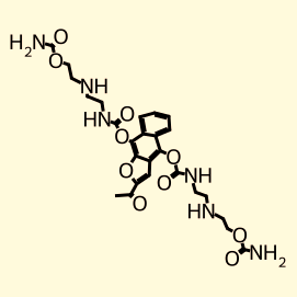 CC(=O)c1cc2c(OC(=O)NCCNCCOC(N)=O)c3ccccc3c(OC(=O)NCCNCCOC(N)=O)c2o1